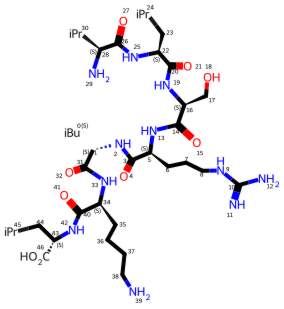 CC[C@H](C)[C@H](NC(=O)[C@H](CCCNC(=N)N)NC(=O)[C@H](CO)NC(=O)[C@H](CC(C)C)NC(=O)[C@@H](N)C(C)C)C(=O)N[C@@H](CCCCN)C(=O)N[C@@H](CC(C)C)C(=O)O